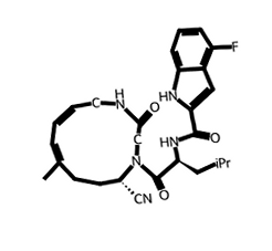 C/C1=C/C=C\CNC(=O)CN(C(=O)[C@H](CC(C)C)NC(=O)c2cc3c(F)cccc3[nH]2)[C@H](C#N)CC1